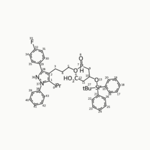 CC(C)c1c(CCCO[PH](=O)CC(CC(=O)O)O[Si](c2ccccc2)(c2ccccc2)C(C)(C)C)c(-c2ccc(F)cc2)nn1-c1ccccc1